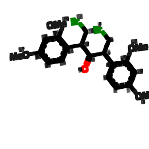 COc1ccc(C(CBr)C(=O)C(CBr)c2ccc(OC)cc2OC)c(OC)c1